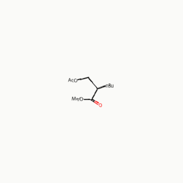 CCCCC(COC(C)=O)C(=O)OC